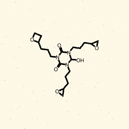 O=C1N(CCCC2CCO2)C(=O)N(CCCC2CO2)C(O)N1CCCC1CO1